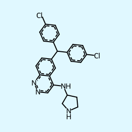 Clc1ccc(C(c2ccc(Cl)cc2)c2ccc3nncc(NC4CCNC4)c3c2)cc1